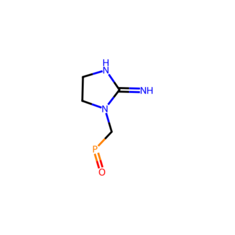 N=C1NCCN1CP=O